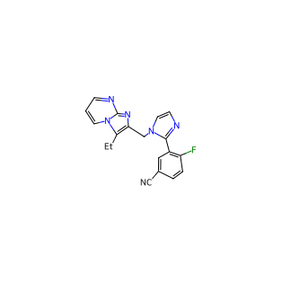 CCc1c(Cn2ccnc2-c2cc(C#N)ccc2F)nc2ncccn12